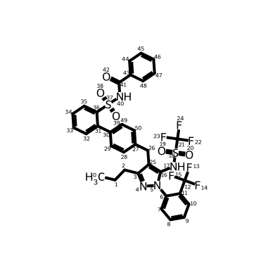 CCCc1nn(-c2ccccc2C(F)(F)F)c(NS(=O)(=O)C(F)(F)F)c1Cc1ccc(-c2ccccc2S(=O)(=O)NC(=O)c2ccccc2)cc1